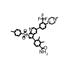 Cc1ccc(S(=O)(=O)n2cc(-c3ccc(C(N)=O)c(C)c3C)c3cc(-c4ccc(N5CCN(C)CC5)c(C(F)(F)F)c4)cnc32)cc1